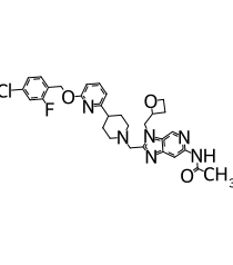 CC(=O)Nc1cc2nc(CN3CCC(c4cccc(OCc5ccc(Cl)cc5F)n4)CC3)n(CC3CCO3)c2cn1